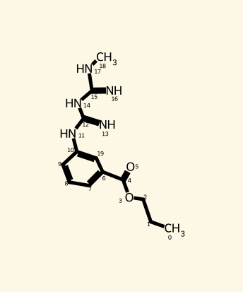 CCCOC(=O)c1cccc(NC(=N)NC(=N)NC)c1